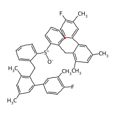 Cc1cc(C)c(Cc2ccccc2[S+]([O-])c2ccccc2Cc2c(C)cc(C)cc2-c2ccc(F)c(C)c2)c(-c2ccc(F)c(C)c2)c1